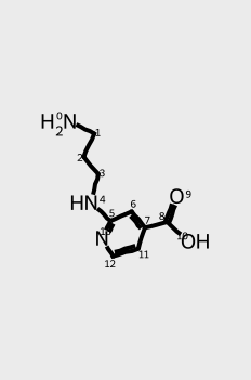 NCCCNc1cc(C(=O)O)ccn1